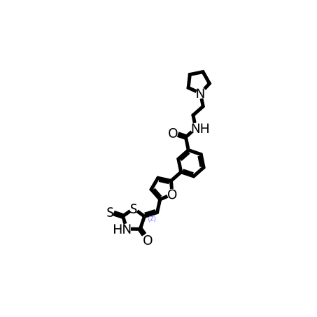 O=C1NC(=S)S/C1=C\c1ccc(-c2cccc(C(=O)NCCN3CCCC3)c2)o1